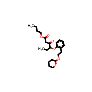 CCCCOC(=O)CC(=O)C(CC)Sc1ccccc1CCOC1CCCCO1